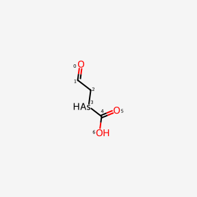 O=CC[AsH]C(=O)O